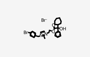 Cc1n(CCOC(=O)C(O)(c2ccccc2)C2CCCCCC2)cc[n+]1Cc1ccc(Br)cc1.[Br-]